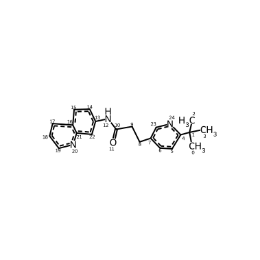 CC(C)(C)c1ccc(CCC(=O)Nc2ccc3cccnc3c2)cn1